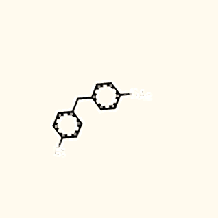 CCc1ccc(Cc2[c]cc(OC(C)=O)cc2)cc1